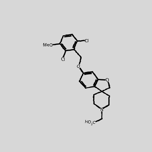 COc1ccc(Cl)c(COc2ccc3c(c2)OCC32CCN(CC(=O)O)CC2)c1Cl